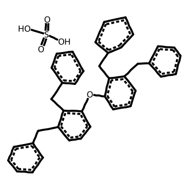 O=S(=O)(O)O.c1ccc(Cc2cccc(Oc3cccc(Cc4ccccc4)c3Cc3ccccc3)c2Cc2ccccc2)cc1